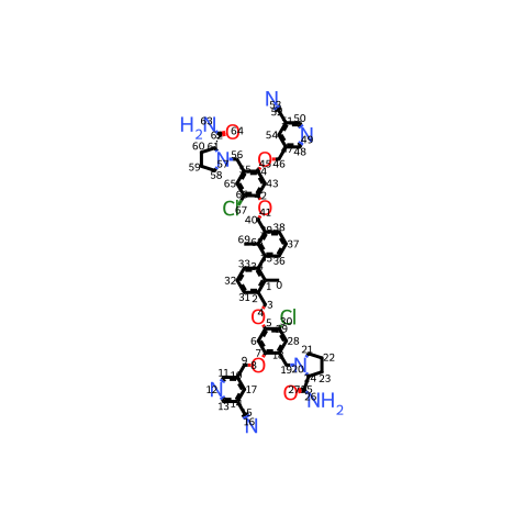 Cc1c(COc2cc(OCc3cncc(C#N)c3)c(CN3CCCC3C(N)=O)cc2Cl)cccc1-c1cccc(COc2cc(OCc3cncc(C#N)c3)c(CN3CCC[C@@H]3C(N)=O)cc2Cl)c1C